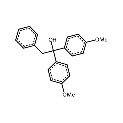 COc1ccc(C(O)(Cc2cc[c]cc2)c2ccc(OC)cc2)cc1